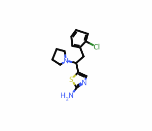 Nc1ncc(C(Cc2ccccc2Cl)N2CCCC2)s1